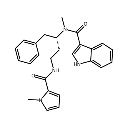 CN(C(=O)c1c[nH]c2ccccc12)[C@H](CCNC(=O)c1cccn1C)Cc1ccccc1